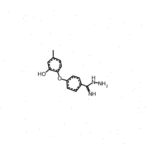 Cc1ccc(Oc2ccc(C(=N)NN)cc2)c(O)c1